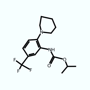 CC(C)OC(=O)Nc1cc(C(F)(F)F)ccc1N1CCCCC1